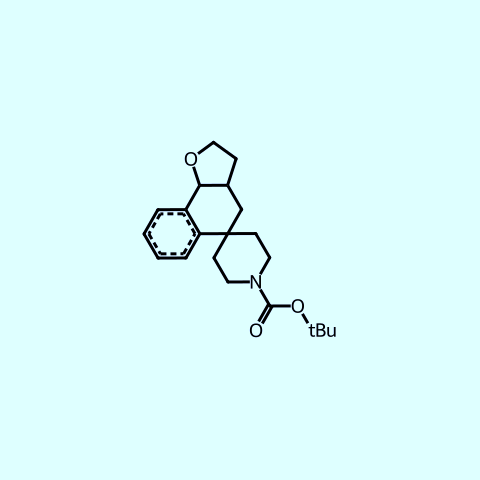 CC(C)(C)OC(=O)N1CCC2(CC1)CC1CCOC1c1ccccc12